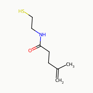 C=C(C)CCC(=O)NCCS